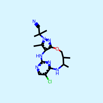 Cc1c2c(nn1C(C)(C)C#N)OCC(C)C(C)Nc1nc(ncc1Cl)N2